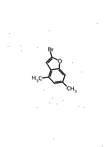 Cc1cc(C)c2cc(Br)oc2c1